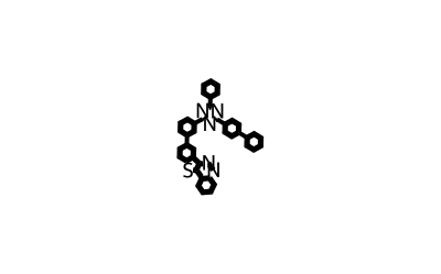 c1ccc(-c2ccc(-c3nc(-c4ccccc4)nc(-c4cccc(-c5ccc6sc7c8ccccc8nnc7c6c5)c4)n3)cc2)cc1